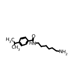 CC(C)c1ccc(C(=O)NCCCCCCN)cc1